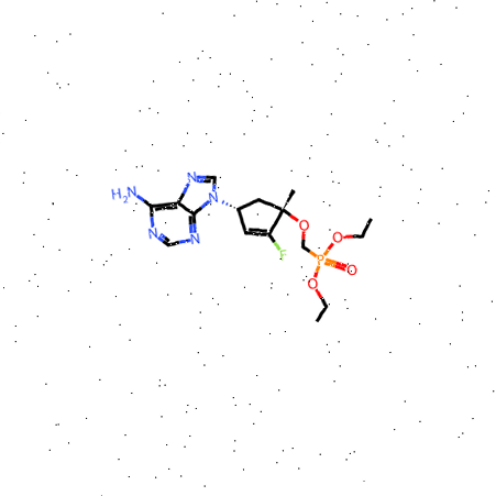 CCOP(=O)(CO[C@@]1(C)C[C@@H](n2cnc3c(N)ncnc32)C=C1F)OCC